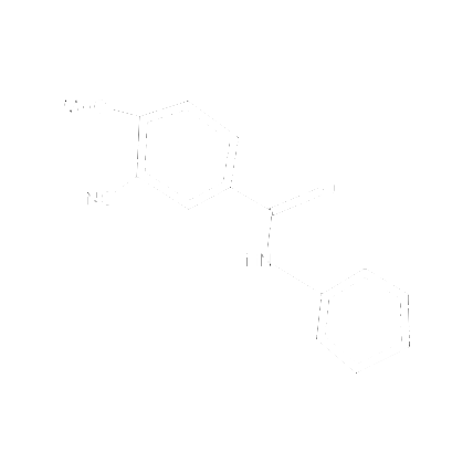 COc1ccc(C(=O)Nc2ccccc2)cc1C#N